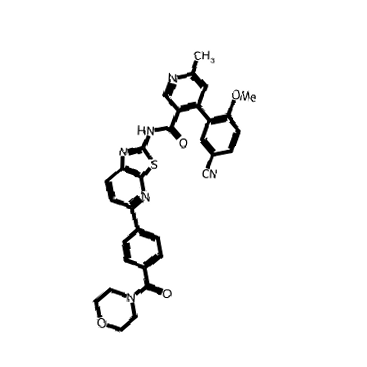 COc1ccc(C#N)cc1-c1cc(C)ncc1C(=O)Nc1nc2ccc(-c3ccc(C(=O)N4CCOCC4)cc3)nc2s1